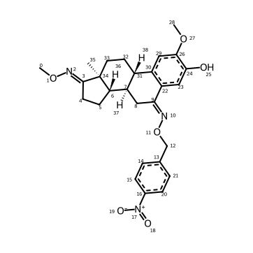 CO/N=C1\CC[C@H]2[C@@H]3C/C(=N\OCc4ccc([N+](=O)[O-])cc4)c4cc(O)c(OC)cc4[C@H]3CC[C@]12C